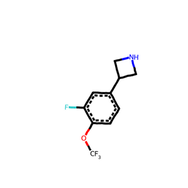 Fc1cc(C2CNC2)ccc1OC(F)(F)F